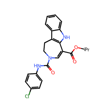 CC(C)OC(=O)C1=CN(C(=O)Nc2ccc(Cl)cc2)CCc2c1[nH]c1ccccc21